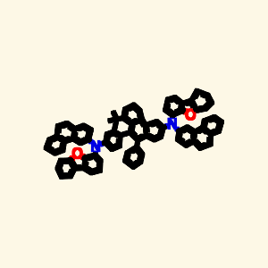 CC1(C)c2cc(N(c3ccc4ccc5ccccc5c4c3)c3cccc4c3oc3ccccc34)ccc2-c2c(-c3ccccc3)c3ccc(N(c4ccc5ccc6ccccc6c5c4)c4cccc5c4oc4ccccc45)cc3c3cccc1c23